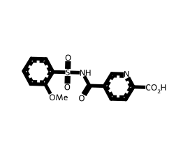 COc1ccccc1S(=O)(=O)NC(=O)c1ccc(C(=O)O)nc1